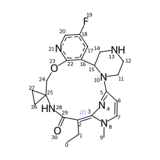 CC/C1=C2/N=C(C=CN2C)N2CCNCC2c2cc(F)cnc2OCC2(CC2)NC1=O